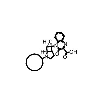 C[C@]1(n2c(=O)c(C(=O)O)nc3ccccc32)C[C@@H]2C1CCN2C1CCCCCCCCCC1